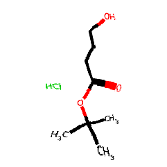 CC(C)(C)OC(=O)CCCO.Cl